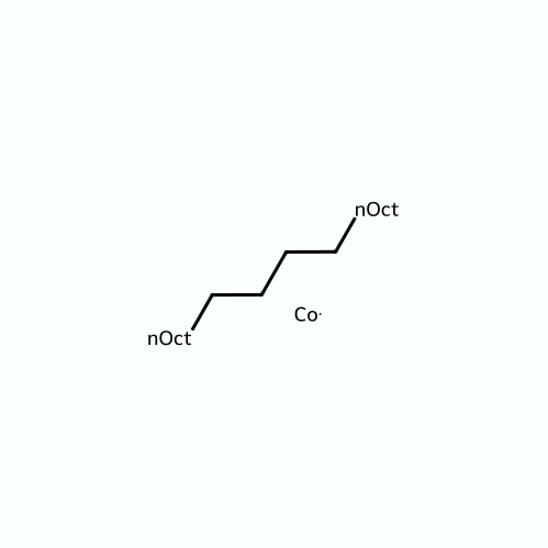 CCCCCCCCCCCCCCCCCCCC.[Co]